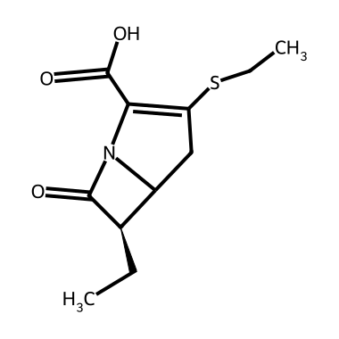 CCSC1=C(C(=O)O)N2C(=O)[C@H](CC)C2C1